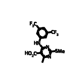 CSc1nc(C)c(C(=O)O)c(Nc2cc(C(F)(F)F)cc(C(F)(F)F)c2)n1